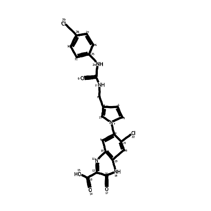 O=C(NCc1ccn(-c2cc3nc(C(=O)O)c(=O)[nH]c3cc2Cl)c1)Nc1ccc(Cl)cc1